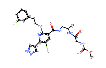 CC[C@H](CNC(=O)c1cc(F)c(-c2cn[nH]c2)nc1NCCc1cccc(F)c1)NC(=O)CNC(=O)OC(C)(C)C